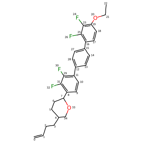 C=CCCC1CCC(c2ccc(-c3ccc(-c4ccc(OCC)c(F)c4F)cc3)c(F)c2F)OC1